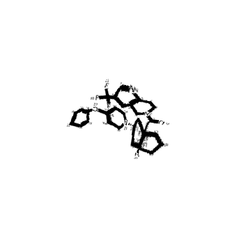 O=C(N1CCc2ncc(C(F)(F)F)cc2C1)[C@@]12CCC[C@@H]1C[C@H](N1CCC(Oc3ccccc3)CC1)C2